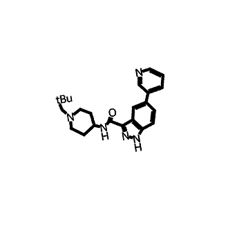 CC(C)(C)CN1CCC(NC(=O)c2n[nH]c3ccc(-c4cccnc4)cc23)CC1